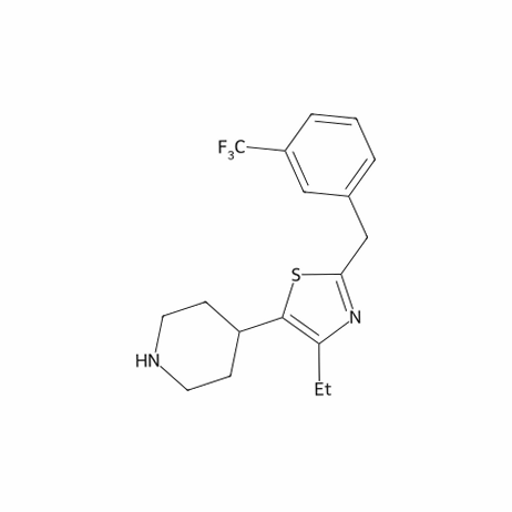 CCc1nc(Cc2cccc(C(F)(F)F)c2)sc1C1CCNCC1